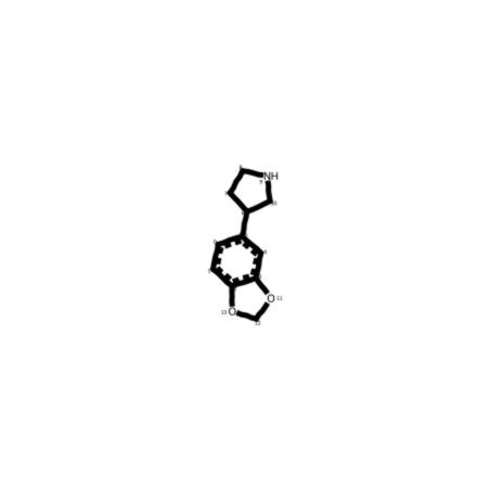 c1cc2c(cc1C1CCNC1)OCO2